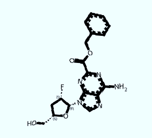 Nc1nc(C(=O)OCc2ccccc2)nc2c1ncn2[C@@H]1O[C@H](CO)C[C@@H]1F